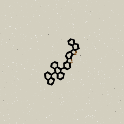 c1ccc2c(-c3c4ccccc4c(-c4ccc5sc6c(ccc7c6sc6ccc8ccccc8c67)c5c4)c4ccccc34)cccc2c1